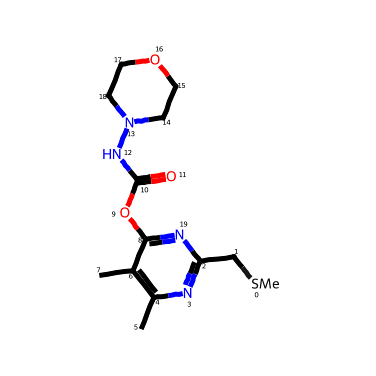 CSCc1nc(C)c(C)c(OC(=O)NN2CCOCC2)n1